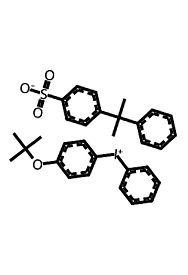 CC(C)(C)Oc1ccc([I+]c2ccccc2)cc1.CC(C)(c1ccccc1)c1ccc(S(=O)(=O)[O-])cc1